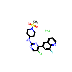 CS(=O)(=O)N1CCC(Nc2ncc(Cl)c(-c3cc(F)c4ncccc4c3)n2)CC1.Cl